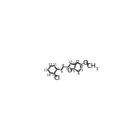 COc1ccc2oc(/C=C/c3ccccc3Cl)cc2c1